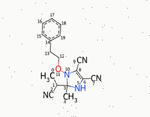 CC(C#N)C1(C)NC(C#N)=C(C#N)N1OCCc1ccccc1